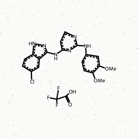 COc1ccc(Nc2nccc(Nc3n[nH]c4ccc(Cl)cc34)n2)cc1OC.O=C(O)C(F)(F)F